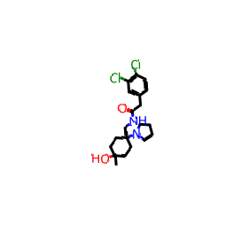 CC1(O)CCC(CNC(=O)Cc2ccc(Cl)c(Cl)c2)(N2CCCC2)CC1